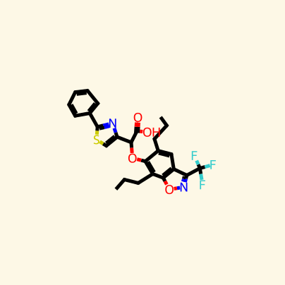 CCCc1cc2c(C(F)(F)F)noc2c(CCC)c1OC(C(=O)O)c1csc(-c2ccccc2)n1